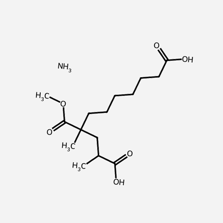 COC(=O)C(C)(CCCCCCC(=O)O)CC(C)C(=O)O.N